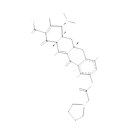 CN(C)[C@@H]1C(O)=C(C(N)=O)C(=O)[C@@]2(O)C(O)=C3C(=O)c4c(O)c(NC(=O)CN5CCCC5)cc(O)c4C[C@H]3C[C@@H]12